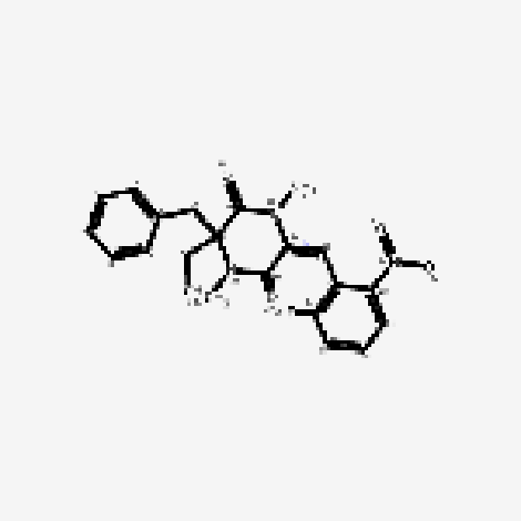 CCC1(Cc2ccccc2)C(=O)N(C)/C(=C/c2c(F)cccc2[N+](=O)[O-])C(=O)N1C